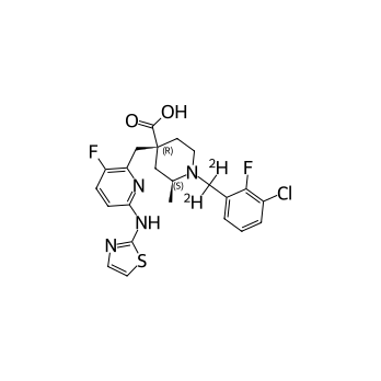 [2H]C([2H])(c1cccc(Cl)c1F)N1CC[C@@](Cc2nc(Nc3nccs3)ccc2F)(C(=O)O)C[C@@H]1C